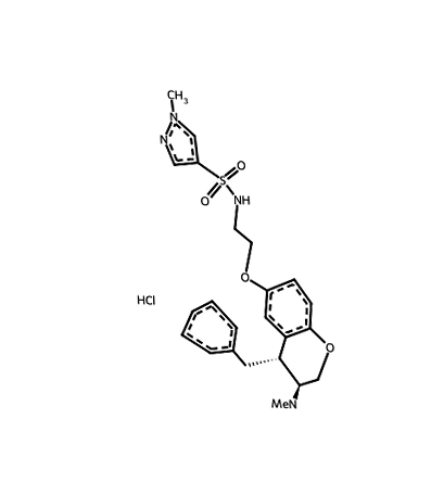 CN[C@@H]1COc2ccc(OCCNS(=O)(=O)c3cnn(C)c3)cc2[C@H]1Cc1ccccc1.Cl